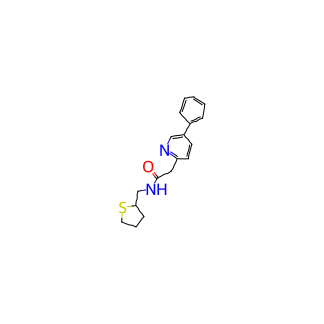 O=C(Cc1ccc(-c2ccccc2)cn1)NCC1CCCS1